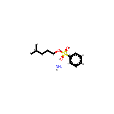 CC(C)CCCOS(=O)(=O)c1ccccc1.N